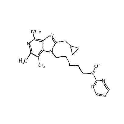 Cc1nc(N)c2nc(CC3CC3)n(CCCCC[S+]([O-])c3ncccn3)c2c1C